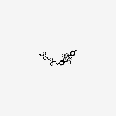 C=CC(=O)OCCOC(=O)CSC1CC2CC1C1C(=O)N(S(=O)(=O)c3ccc(C)cc3)C(=O)C21